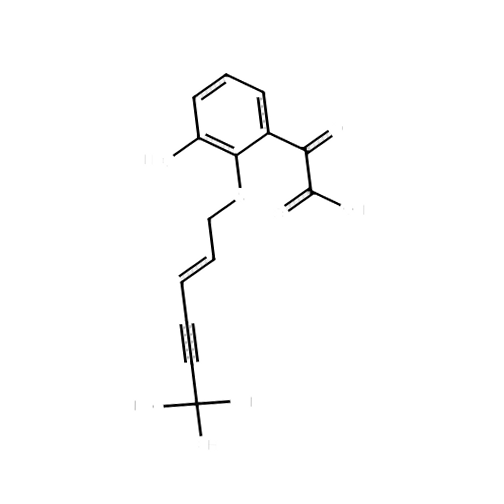 Cc1cccc(C(=O)C(=O)O)c1SCC=CC#CC(C)(C)C